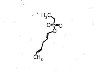 CC=CCC=COS(=O)(=O)CC